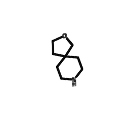 C1CC2(CCN1)CCOC2